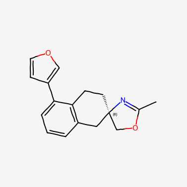 CC1=N[C@@]2(CCc3c(cccc3-c3ccoc3)C2)CO1